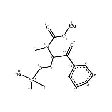 CN(C(=O)OC(C)(C)C)C(CO[Si](C)(C)C(C)(C)C)C(=O)c1ccccc1